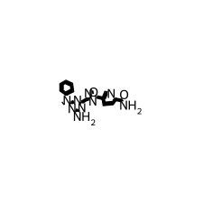 CN(c1ccccc1)c1nc(N)nc(-c2noc(-c3ccc(C(N)=O)nc3)n2)n1